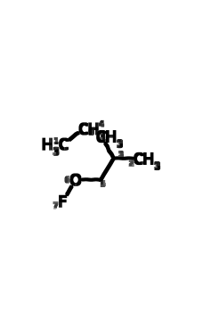 CC.CC(C)COF